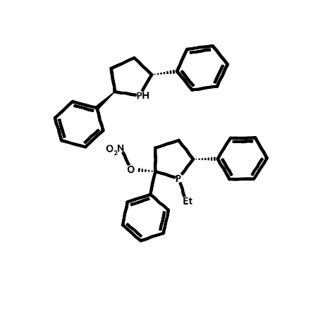 CCP1[C@@H](c2ccccc2)CC[C@]1(O[N+](=O)[O-])c1ccccc1.c1ccc([C@H]2CC[C@H](c3ccccc3)P2)cc1